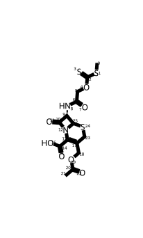 CSC(=S)OCC(=O)N[C@H]1C(=O)N2C(C(=O)O)=C(COC(C)=O)CSC12